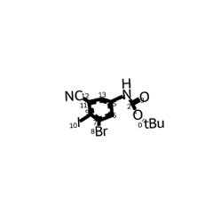 CC(C)(C)OC(=O)Nc1cc(Br)c(I)c(C#N)c1